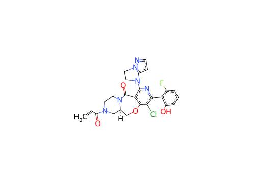 C=CC(=O)N1CCN2C(=O)c3c(N4CCn5nccc54)nc(-c4c(O)cccc4F)c(Cl)c3OC[C@H]2C1